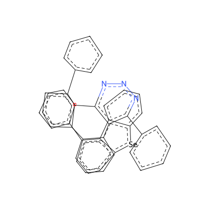 c1ccc(-c2ccccc2-c2c(-c3ccccc3)nnnc2-c2c(-c3ccccc3)cccc2-c2cccc3[se]c4ccccc4c23)cc1